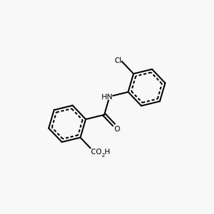 O=C(O)c1ccccc1C(=O)Nc1ccccc1Cl